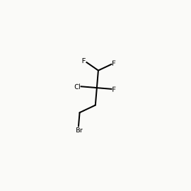 FC(F)C(F)(Cl)CCBr